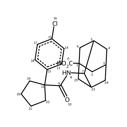 O=C(O)C12CC3CC(C1)C(NC(=O)C1(c4ccc(Cl)cc4)CCCC1)C(C3)C2